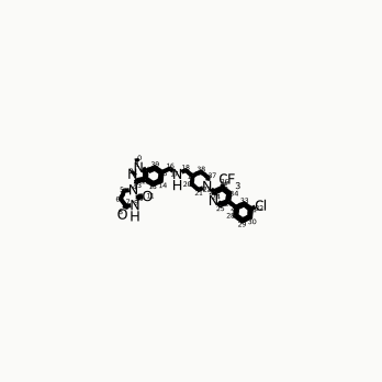 Cn1nc(N2CCC(=O)NC2=O)c2ccc(CNCC3CCN(c4ncc(-c5cccc(Cl)c5)cc4C(F)(F)F)CC3)cc21